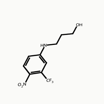 O=[N+]([O-])c1ccc(NCCCO)cc1C(F)(F)F